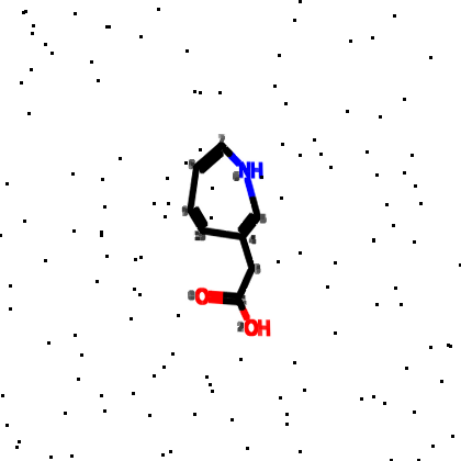 O=C(O)CC1=CNC=CC=C1